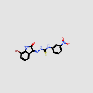 O=C1Nc2c(Br)cccc2/C1=N/NC(=S)Nc1cccc([N+](=O)[O-])c1